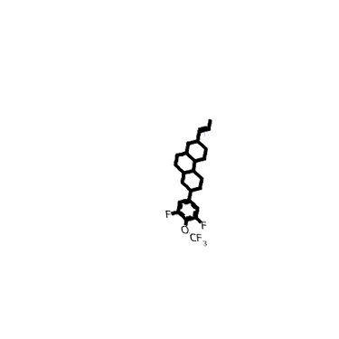 C/C=C/C1CCC2C(CCC3CC(c4cc(F)c(OC(F)(F)F)c(F)c4)CCC32)C1